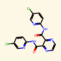 O=C(Nc1ccc(Cl)cn1)c1nccnc1C(=O)Nc1ccc(Cl)cn1